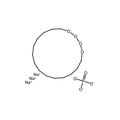 C1CCCCCCCOOOOCCCCCC1.O=P([O-])([O-])[O-].[Na+].[Na+].[Na+]